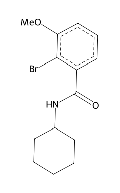 COc1cccc(C(=O)NC2CCCCC2)c1Br